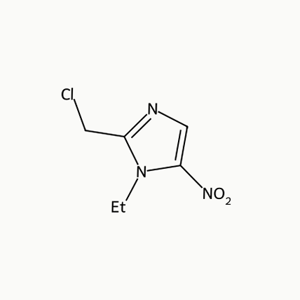 CCn1c([N+](=O)[O-])cnc1CCl